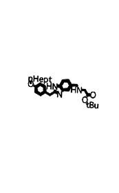 CCCCCCCOc1ccc(Cc2nc3cc(CNCC(=O)OC(C)(C)C)ccc3[nH]2)cc1